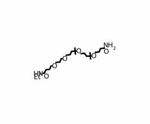 CCNC(=O)CCCOCCCOCCCC(C)(C)OCCCC(C)(C)OCCCC(N)=O